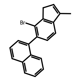 CC1=CCc2c1ccc(-c1cccc3ccccc13)c2Br